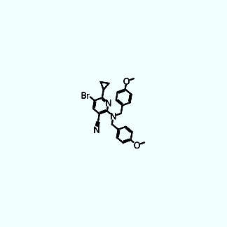 COc1ccc(CN(Cc2ccc(OC)cc2)c2nc(C3CC3)c(Br)cc2C#N)cc1